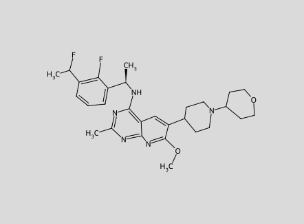 COc1nc2nc(C)nc(N[C@H](C)c3cccc(C(C)F)c3F)c2cc1C1CCN(C2CCOCC2)CC1